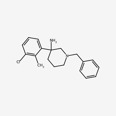 Cc1c(Cl)cccc1C1(N)CCCN(Cc2ccccc2)C1